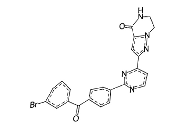 O=C(c1ccc(-c2nccc(-c3cc4n(n3)CCNC4=O)n2)cc1)c1cccc(Br)c1